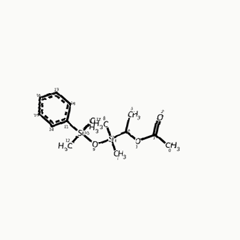 CC(=O)OC(C)[Si](C)(C)O[Si](C)(C)c1ccccc1